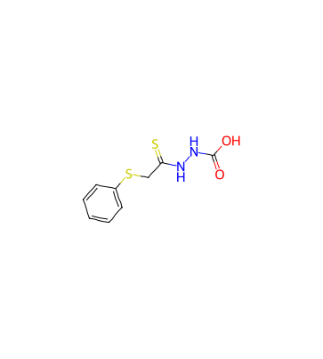 O=C(O)NNC(=S)CSc1ccccc1